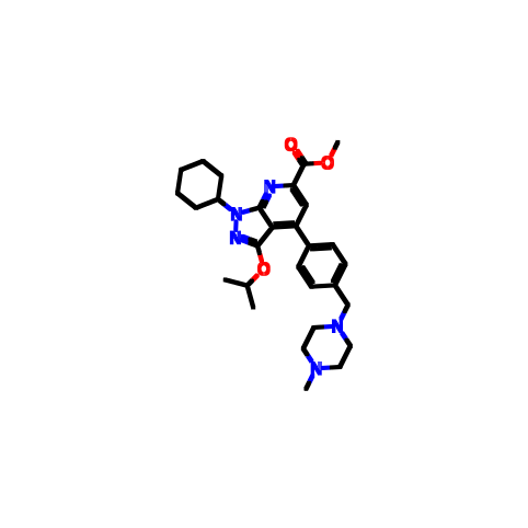 COC(=O)c1cc(-c2ccc(CN3CCN(C)CC3)cc2)c2c(OC(C)C)nn(C3CCCCC3)c2n1